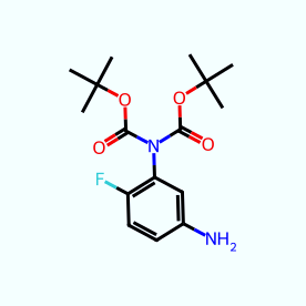 CC(C)(C)OC(=O)N(C(=O)OC(C)(C)C)c1cc(N)ccc1F